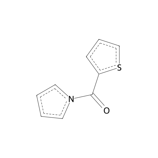 O=C(c1cccs1)n1cccc1